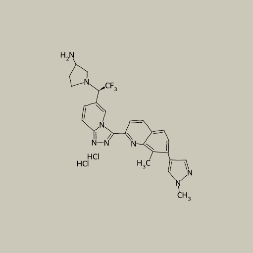 Cc1c(-c2cnn(C)c2)ccc2ccc(-c3nnc4ccc([C@@H](N5CCC(N)C5)C(F)(F)F)cn34)nc12.Cl.Cl